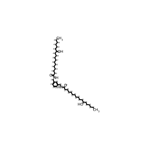 CCCCCCC(O)CCCCCCCCCCC(=O)NCc1cccc(CNC(=O)CCCCCCCCCCC(O)CCCCCC)c1